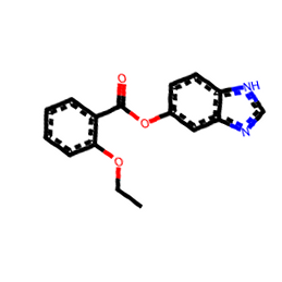 CCOc1ccccc1C(=O)Oc1ccc2[nH]cnc2c1